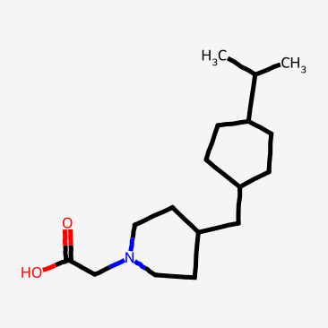 CC(C)C1CCC(CC2CCN(CC(=O)O)CC2)CC1